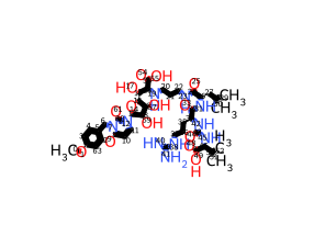 COc1ccc(Cn2c(=O)ccn([C@@H]3O[C@H](C(O)[C@H](NCCCNC(=O)[C@H](CC(C)C)NC(=O)[C@H](CCCNC(=N)N)NC(=O)N[C@H](C(=O)O)C(C)C)C(=O)O)[C@@H](O)[C@H]3O)c2=O)cc1